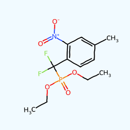 CCOP(=O)(OCC)C(F)(F)c1ccc(C)cc1[N+](=O)[O-]